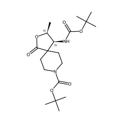 C[C@@H]1OC(=O)C2(CCN(C(=O)OC(C)(C)C)CC2)[C@@H]1NC(=O)OC(C)(C)C